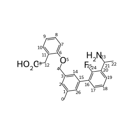 Cc1cc(COc2ccccc2CC(=O)O)cc(-c2cccc(C(C)N)c2F)c1